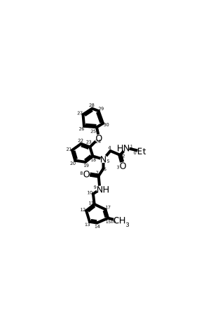 CCNC(=O)CN(CC(=O)NCc1cccc(C)c1)c1ccccc1Oc1ccccc1